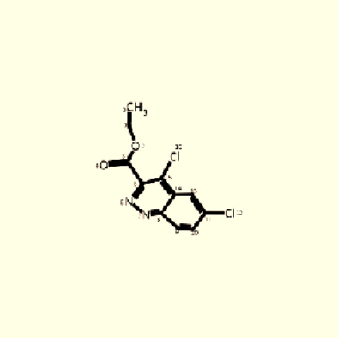 CCOC(=O)c1nnc2ccc(Cl)cc2c1Cl